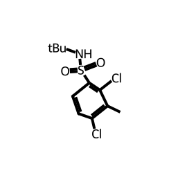 Cc1c(Cl)ccc(S(=O)(=O)NC(C)(C)C)c1Cl